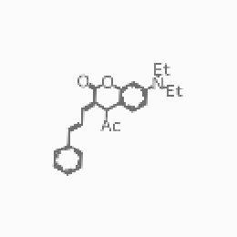 CCN(CC)c1ccc2c(c1)OC(=O)C(=CC=Cc1ccccc1)C2C(C)=O